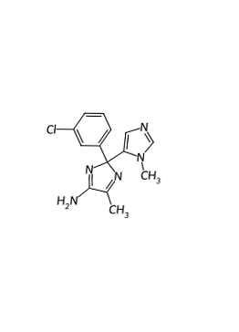 CC1=NC(c2cccc(Cl)c2)(c2cncn2C)N=C1N